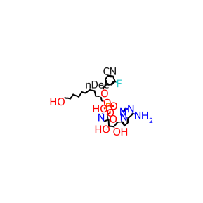 CCCCCCCCCCC(CCCCCCO)CC[C@H](COP(=O)(O)OC[C@@]1(/C=N\C)O[C@@H](c2ccc3c(N)ncnn23)[C@H](O)[C@@H]1O)OCc1cc(F)cc(C#N)c1